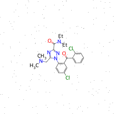 CCN(CC)C(=O)c1nc(CN(C)C)n(-c2ccc(Cl)cc2C(=O)c2ccccc2Cl)n1